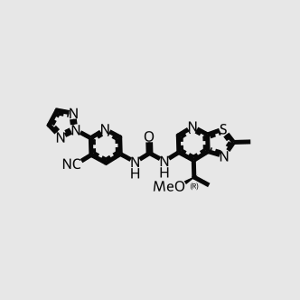 CO[C@H](C)c1c(NC(=O)Nc2cnc(-n3nccn3)c(C#N)c2)cnc2sc(C)nc12